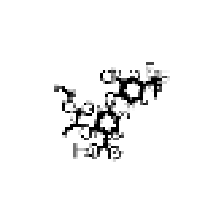 CCOC(=O)C(C)Oc1cc(Oc2ccc(C(F)(F)F)cc2Cl)ccc1C(=O)O